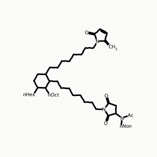 C=C1C=CC(=O)N1CCCCCCCCC1CCC(CCCCCC)C(CCCCCCCC)C1CCCCCCCCN1C(=O)CC(N(CCCCCCCCC)C(C)=O)C1=O